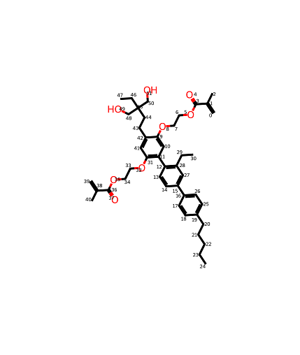 C=C(C)C(=O)OCCOc1cc(-c2ccc(-c3ccc(CCCCC)cc3)cc2CC)c(OCCOC(=O)C(=C)C)cc1CCC(CC)(CO)CO